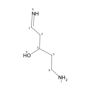 N=CCC(O)CCN